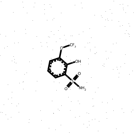 NS(=O)(=O)c1cccc(OC(F)(F)F)c1O